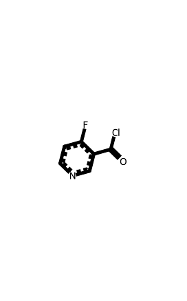 O=C(Cl)c1cnccc1F